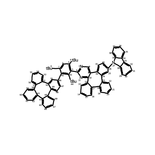 CC(C)(C)c1cc(C(C)(C)C)c(-c2ncc3c(n2)-c2ccccc2-c2ccccc2-c2cc(-n4c5ccccc5c5ccccc54)ccc2-3)c(C(C)(C)C)c1-c1ccc2c(c1)-c1ccccc1-c1ccccc1-c1ccccc1-2